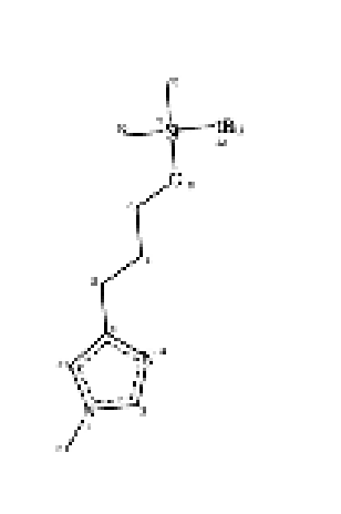 Cn1cnc(CCCO[Si](C)(C)C(C)(C)C)c1